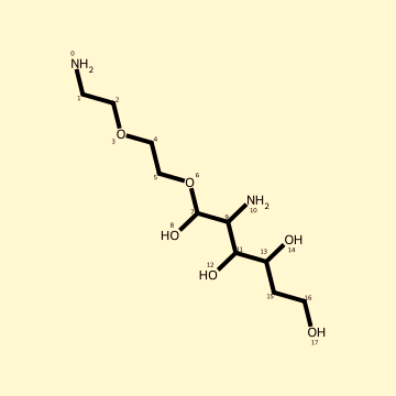 NCCOCCOC(O)C(N)C(O)C(O)CCO